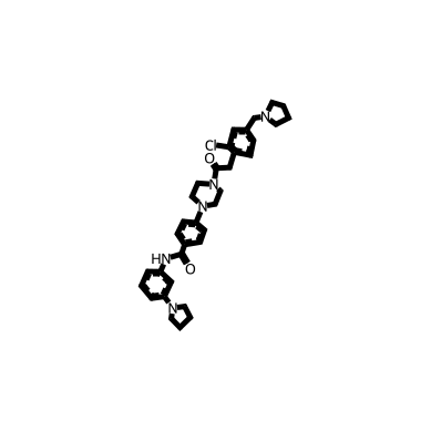 O=C(Nc1cccc(N2CCCC2)c1)c1ccc(N2CCN(C(=O)Cc3ccc(CN4CCCC4)cc3Cl)CC2)cc1